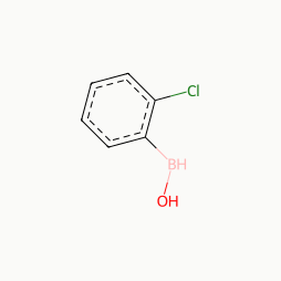 OBc1ccccc1Cl